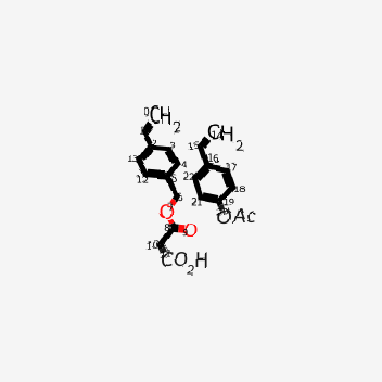 C=Cc1ccc(COC(=O)CC(=O)O)cc1.C=Cc1ccc(OC(C)=O)cc1